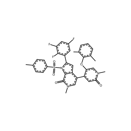 Cc1ccc(S(=O)(=O)n2c(-c3cc(F)cc(F)c3F)cc3c(-c4cc(=O)n(C)cc4Oc4c(C)cccc4C)cn(C)c(=O)c32)cc1